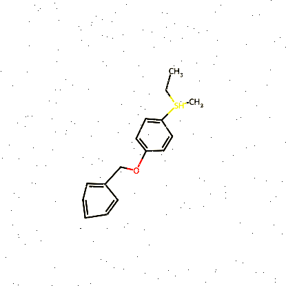 CC[SH](C)c1ccc(OCc2ccccc2)cc1